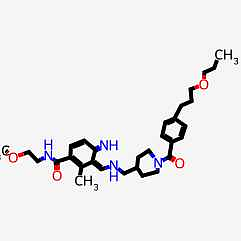 CCCOCCCc1ccc(C(=O)N2CCC(CN/C=C3\C(=N)C=CC(C(=O)NCCOC)=C3C)CC2)cc1